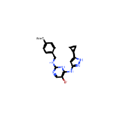 COc1ccc(CNC2N=CC(Br)=C(Nc3cc(C4CC4)[nH]n3)N2)cc1